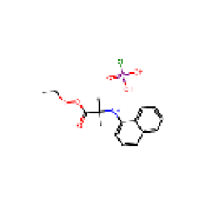 CCOOC(=O)C(C)(C)Nc1cccc2ccccc12.O=P(O)(O)Cl